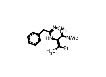 CC/C(C)=C(/N/C(Cc1ccccc1)=N\C)C(=O)NC